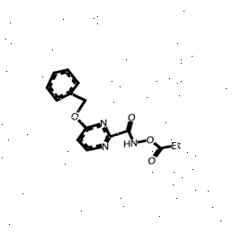 CCC(=O)ONC(=O)c1nccc(OCc2ccccc2)n1